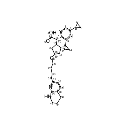 O=C(O)[C@H](c1ccc(C2CC2)nc1C1CC1)C1CC[C@@H](OCCCCc2ccc3c(n2)NCCC3)C1